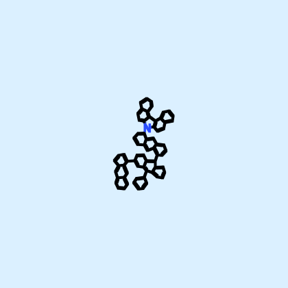 c1ccc(-c2c3ccccc3c(-c3cccc4cc5c(-n6c7ccc8ccccc8c7c7c8ccccc8ccc76)cccc5cc34)c3ccc(-c4cccc5cc6ccccc6cc45)cc23)cc1